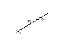 CCCCC[C@H](O)CCCCCCC(O)CCCCCCCCC(=O)OC